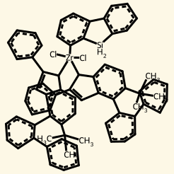 CC(C)(C)c1ccc2c(c1-c1ccccc1-c1ccccc1)C=C(c1ccccc1)[CH]2[Zr]([Cl])([Cl])([c]1cccc2c1[SiH2]c1ccccc1-2)[CH]1C(c2ccccc2)=Cc2c1ccc(C(C)(C)C)c2-c1ccccc1-c1ccccc1